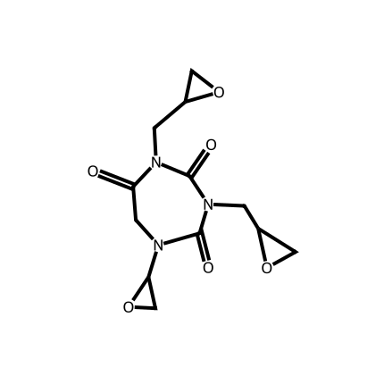 O=C1CN(C2CO2)C(=O)N(CC2CO2)C(=O)N1CC1CO1